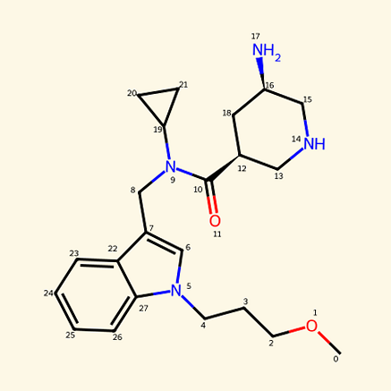 COCCCn1cc(CN(C(=O)[C@@H]2CNC[C@H](N)C2)C2CC2)c2ccccc21